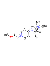 CC(C)(C)OCCN1CCC(N2C[C@@H]3C[C@H]2CN3C(C)(C)C)CC1